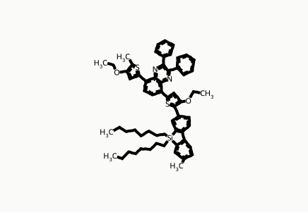 CCCCCCCC[Si]1(CCCCCCCC)c2cc(C)ccc2-c2ccc(-c3sc(-c4ccc(-c5cc(OCC)c(C)s5)c5nc(-c6ccccc6)c(-c6ccccc6)nc45)cc3OCC)cc21